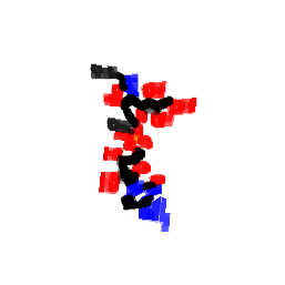 CNCC(=O)NC1C(O)CC(C=O)(OP(=O)(O)OCC2OC(n3ccc(N)nc3=O)[C@H](O)[C@@H]2O)OC1[C@H](O)[C@H](O)CO